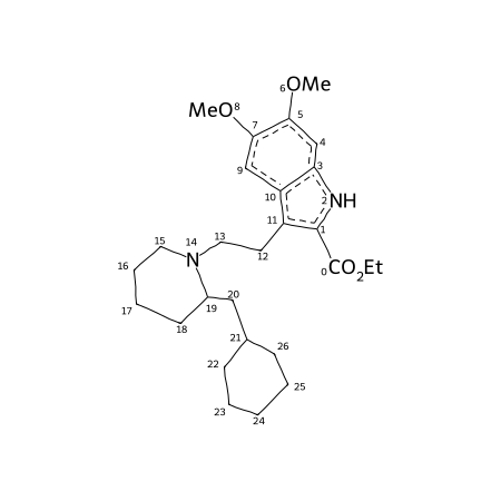 CCOC(=O)c1[nH]c2cc(OC)c(OC)cc2c1CCN1CCCCC1CC1CCCCC1